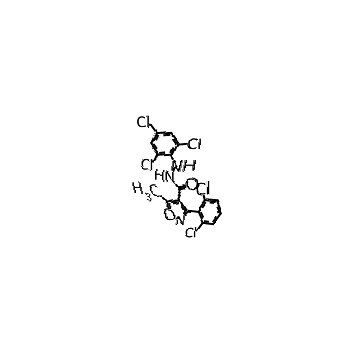 Cc1onc(-c2c(Cl)cccc2Cl)c1C(=O)NNc1c(Cl)cc(Cl)cc1Cl